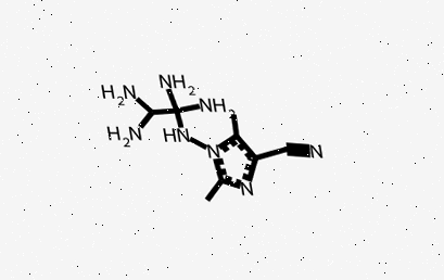 Cc1nc(C#N)c(C)n1NC(N)(N)C(N)N